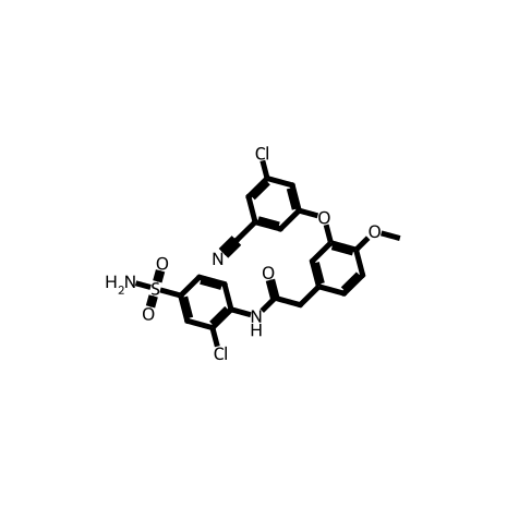 COc1ccc(CC(=O)Nc2ccc(S(N)(=O)=O)cc2Cl)cc1Oc1cc(Cl)cc(C#N)c1